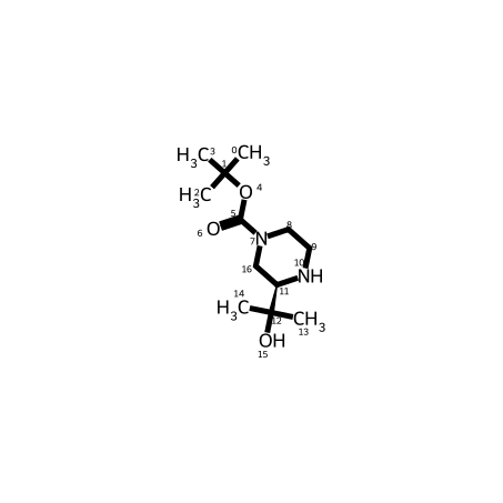 CC(C)(C)OC(=O)N1CCN[C@@H](C(C)(C)O)C1